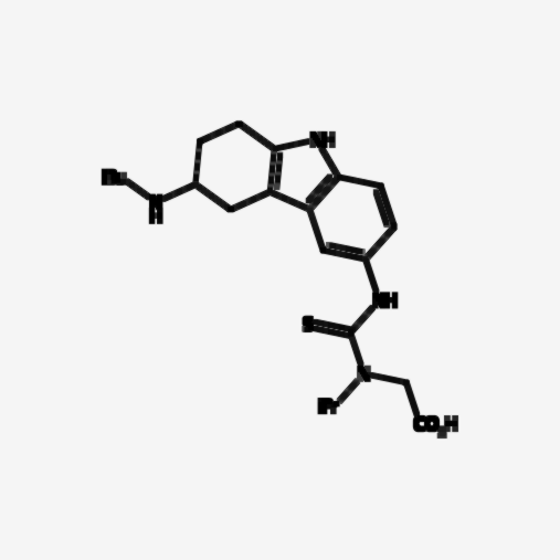 CCC(C)NC1CCc2[nH]c3ccc(NC(=S)N(CC(=O)O)C(C)C)cc3c2C1